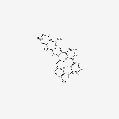 Cc1ccc(NC(=O)c2ccc(C(C)C3CCNCC3)c(C(F)(F)F)c2)cc1Nc1nccc(-c2cncnc2)n1